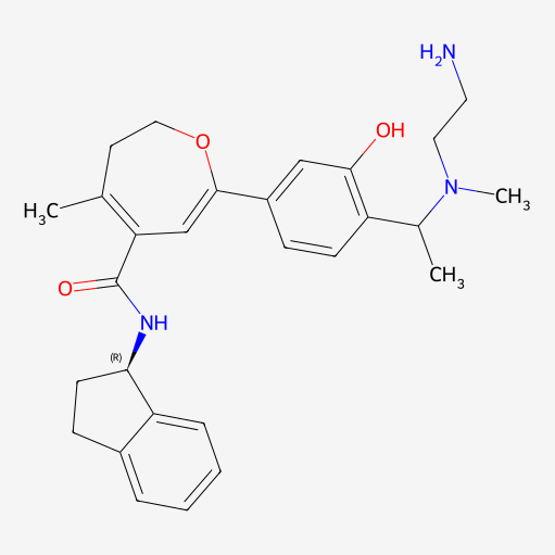 CC1=C(C(=O)N[C@@H]2CCc3ccccc32)C=C(c2ccc(C(C)N(C)CCN)c(O)c2)OCC1